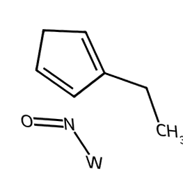 CCC1=CCC=C1.O=[N][W]